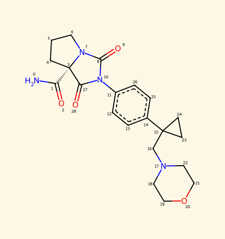 NC(=O)[C@]12[CH]CCN1C(=O)N(c1ccc(C3(CN4CCOCC4)CC3)cc1)C2=O